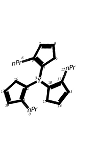 CCCC1=[C]([Y]([C]2=C(CCC)C=CC2)[C]2=C(CCC)C=CC2)CC=C1